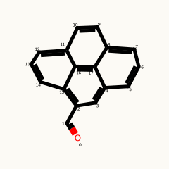 O=Cc1cc2cccc3ccc4cc[c]c1c4c32